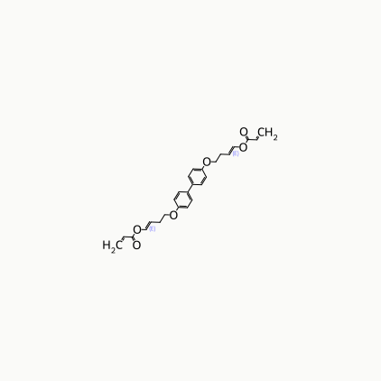 C=CC(=O)O/C=C/CCOc1ccc(-c2ccc(OCC/C=C/OC(=O)C=C)cc2)cc1